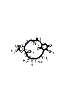 CO[C@H]1C[C@H](C)CC2=C(N)C(=O)C=C(NC(=O)/C(C)=C/C=C\[C@@H](OC)[C@@H](OC(N)=O)/C(C)=C/[C@H](C)[C@H]1O)C2=O